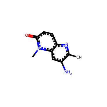 Cn1c(=O)ccc2nc(C#N)c(N)cc21